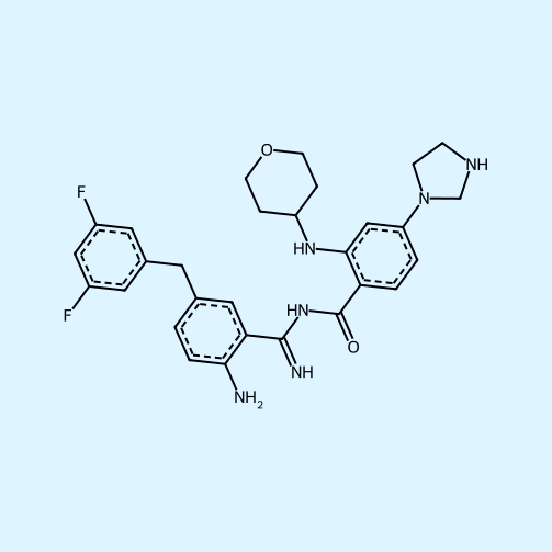 N=C(NC(=O)c1ccc(N2CCNC2)cc1NC1CCOCC1)c1cc(Cc2cc(F)cc(F)c2)ccc1N